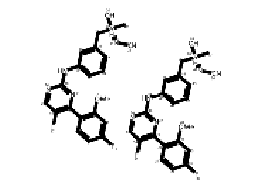 COc1cc(F)ccc1-c1nc(Nc2cccc(C[SH](C)(O)=NC#N)c2)ncc1F.COc1cc(F)ccc1-c1nc(Nc2cccc(C[SH](C)(O)=NC#N)c2)ncc1F